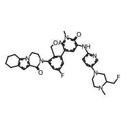 CC(=O)OCc1c(-c2cc(Nc3ccc(N4CCN(C)C(CF)C4)cn3)c(=O)n(C)c2)cc(F)cc1N1CCn2c(cc3c2CCCC3)C1=O